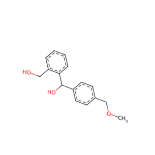 COCc1ccc(C(O)c2ccccc2CO)cc1